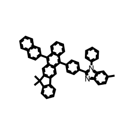 Cc1ccc2nc(-c3ccc(-c4c5ccccc5c(-c5ccc6ccccc6c5)c5cc6c(cc45)-c4ccccc4C6(C)C)cc3)n(-c3ccccc3)c2c1